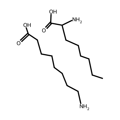 CCCCCCC(N)C(=O)O.NCCCCCCCC(=O)O